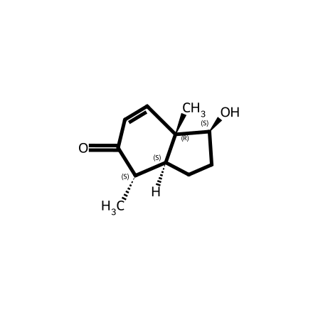 C[C@@H]1C(=O)C=C[C@]2(C)[C@@H](O)CC[C@@H]12